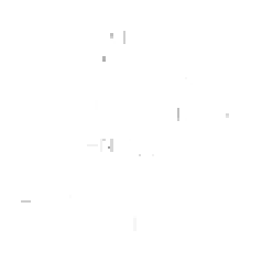 COc1cc(N2CCCS2(O)O)cc(C(=O)Nc2cc(C)cc(Cl)c2)c1Cl